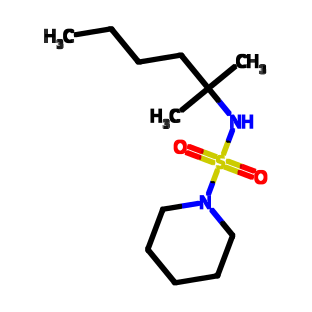 CCCCC(C)(C)NS(=O)(=O)N1CCCCC1